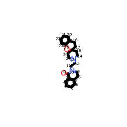 O=C1c2ccccc2CCN1CCN1CCC2(CCc3ccccc3O2)CC1